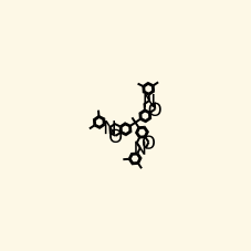 Cc1cc(C)cc(N2COc3ccc(C(C)(c4ccc5c(c4)CN(c4cc(C)cc(C)c4)CO5)c4ccc5c(c4)CN(c4cc(C)cc(C)c4)CO5)cc3C2)c1